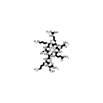 CN[C@@H](CCC(N)=O)C(=O)N[C@@H](CCC(N)=O)C(=O)N[C@@H](CCCNC(=N)N)C(=O)N[C@@H](CCCCN)C(=O)N[C@@H](CC(C)C)C(=O)N[C@@H](CC(C)C)C(=O)N[C@@H](CCCCN)C(=O)N[C@@H](CO)C(N)=O